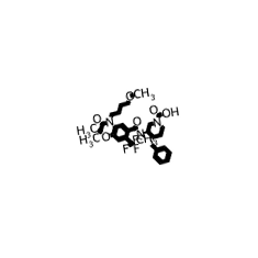 COCCCCN1C(=O)C(C)(C)Oc2cc(C(F)(F)F)c(C(=O)N(C)[C@H]3CN(C(=O)O)CC[C@@H]3Cc3ccccc3)cc21